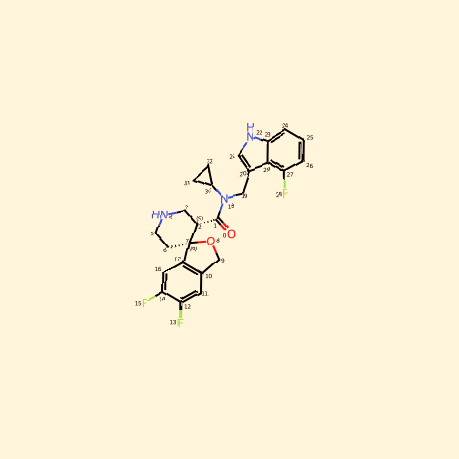 O=C([C@H]1CNCC[C@@]12OCc1cc(F)c(F)cc12)N(Cc1c[nH]c2cccc(F)c12)C1CC1